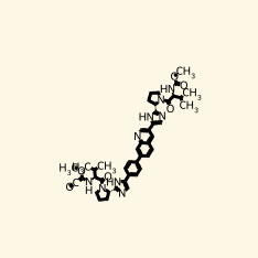 COC(=O)N[C@H](C(=O)N1CCC[C@H]1c1ncc(-c2cnc3cc(-c4ccc(-c5cnc([C@@H]6CCCN6C(=O)[C@@H](NC(=C=O)OC)C(C)C)[nH]5)cc4)ccc3c2)[nH]1)C(C)C